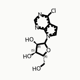 OC[C@H]1OC(n2ccc3c(Cl)ncnc32)[C@H](O)[C@@H]1O